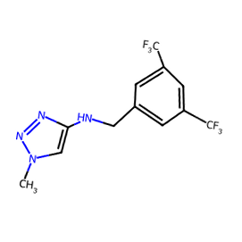 Cn1cc(NCc2cc(C(F)(F)F)cc(C(F)(F)F)c2)nn1